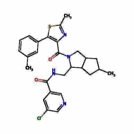 Cc1cccc(-c2sc(C)nc2C(=O)N2CC3CC(C)CC3C2CNC(=O)c2cncc(Cl)c2)c1